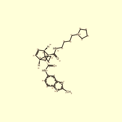 Cc1nc2cc(NC(=O)[C@H]3[C@H](C(=O)NCCCCN4CCCC4)[C@H]4C=C[C@@H]3C43CC3)ccc2s1